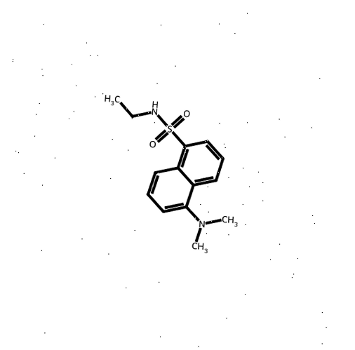 C[CH]NS(=O)(=O)c1cccc2c(N(C)C)cccc12